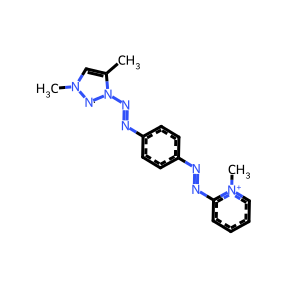 CC1=CN(C)[N]N1N=Nc1ccc(N=Nc2cccc[n+]2C)cc1